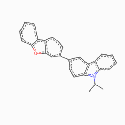 CC(C)n1c2ccccc2c2cc(-c3ccc4c(c3)oc3ccccc34)ccc21